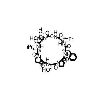 CC(C)C[C@@H]1NC(=O)[C@H](Cc2ccccc2)NC(=O)[C@@H]2CCCN2C(=O)[C@H](CO)NC(=O)[C@@H]2CCCN2C(=O)[C@H](CC(C)C)NC(=O)[C@H]([C@@H](C)O)NC(=O)CNC1=O